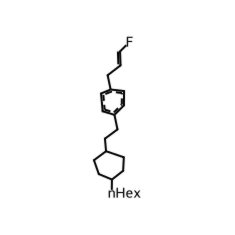 CCCCCCC1CCC(CCc2ccc(CC=CF)cc2)CC1